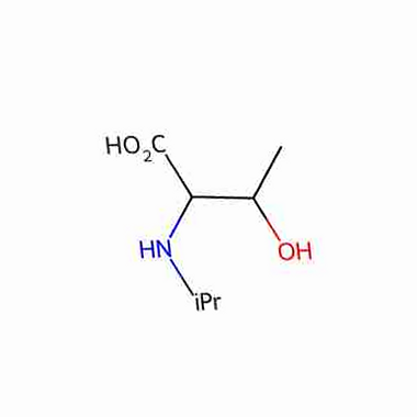 CC(C)NC(C(=O)O)C(C)O